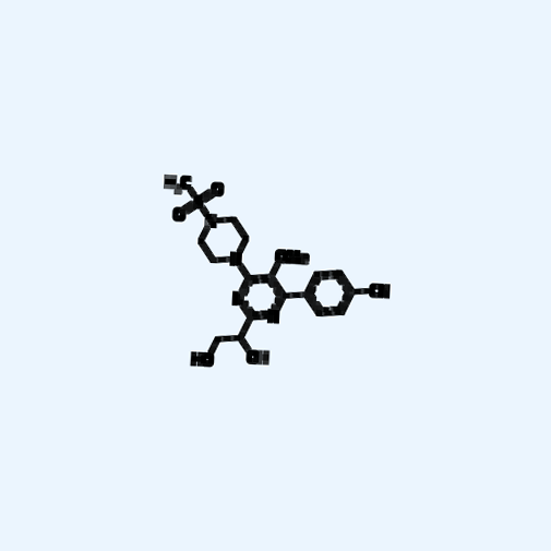 COc1c(-c2ccc(C#N)cc2)nc(C(O)CO)nc1N1CCN(S(C)(=O)=O)CC1